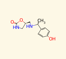 C[C@H](NC[C@H]1CNC(=O)O1)c1ccc(O)cc1